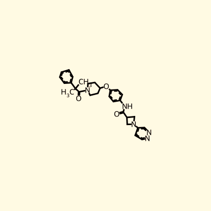 CC(C)(C(=O)N1CCC(Oc2ccc(NC(=O)C3CN(c4ccnnc4)C3)cc2)CC1)c1ccccc1